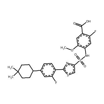 COc1cc(C(=O)O)c(F)cc1NS(=O)(=O)c1csc(-c2ccc(C3CCC(C)(C)CC3)cc2F)n1